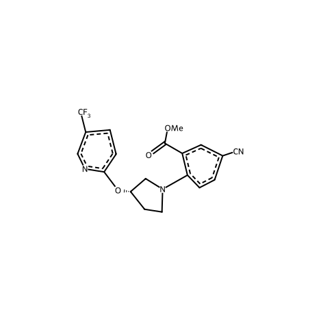 COC(=O)c1cc(C#N)ccc1N1CC[C@H](Oc2ccc(C(F)(F)F)cn2)C1